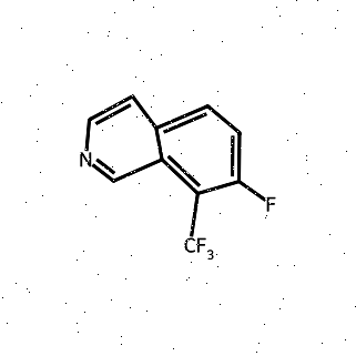 Fc1ccc2ccncc2c1C(F)(F)F